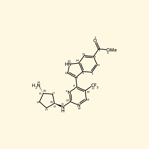 COC(=O)c1ccc2c(-c3nc(N[C@H]4CC[C@H](N)C4)ncc3C(F)(F)F)c[nH]c2c1